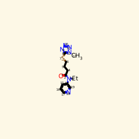 CCN(C(=O)CCCSc1nnnn1C)c1cccnc1